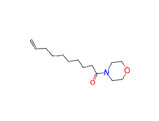 C=CCCCCCCCC(=O)N1CCOCC1